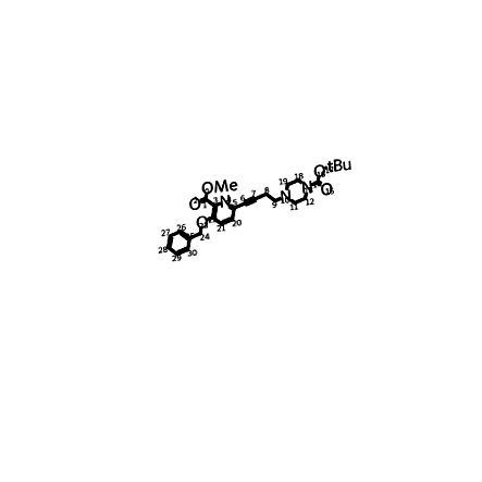 COC(=O)c1nc(C#CCCN2CCN(C(=O)OC(C)(C)C)CC2)ccc1OCc1ccccc1